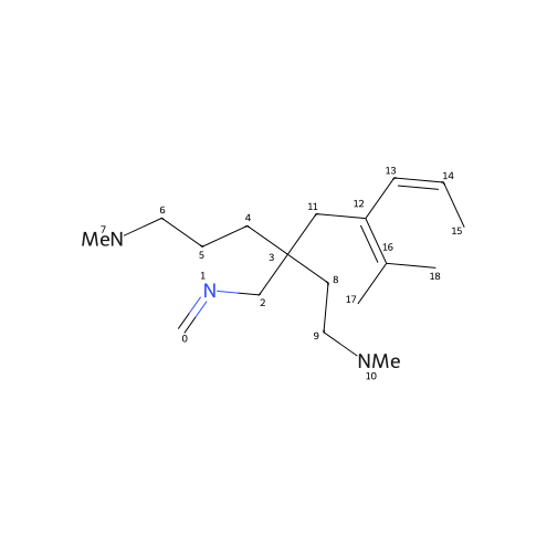 C=NCC(CCCNC)(CCNC)CC(/C=C\C)=C(C)C